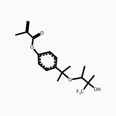 C=C(C)C(=O)Oc1ccc(C(C)(C)OC(C)C(C)(O)C(F)(F)F)cc1